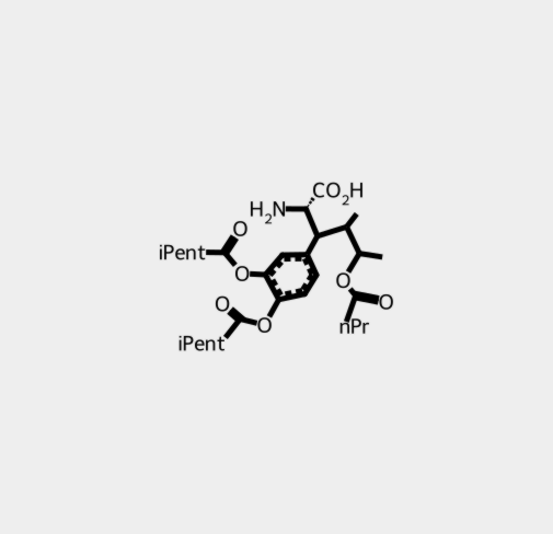 CCCC(=O)OC(C)C(C)C(c1ccc(OC(=O)C(C)CCC)c(OC(=O)C(C)CCC)c1)[C@H](N)C(=O)O